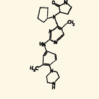 Cc1cc(Nc2ncc(C)c(N(C3CCCC3)C3CCNC3=O)n2)ccc1N1CCNCC1